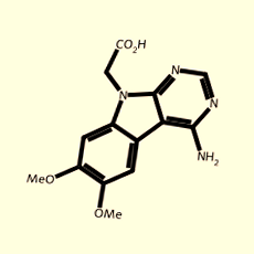 COc1cc2c3c(N)ncnc3n(CC(=O)O)c2cc1OC